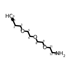 C#CCCOCCOCCOCCN